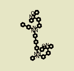 c1ccc(-c2ccc(-c3nc(-c4ccc(-c5ccc(-c6ccc(-c7nc(-c8ccccc8)nc(-c8cccc(-c9cccc(-c%10c%11ccccc%11nc%11oc%12ccccc%12c%10%11)c9)c8)n7)cc6)cc5)cc4)nc(-c4cccc(-c5cccc(-c6c7ccccc7nc7oc8ccccc8c67)c5)c4)n3)cc2)cc1